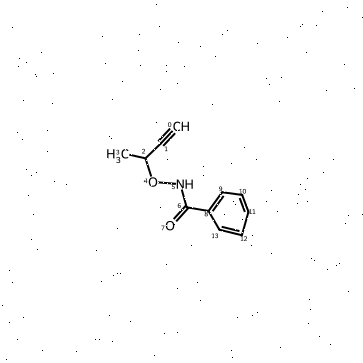 C#CC(C)ONC(=O)c1ccccc1